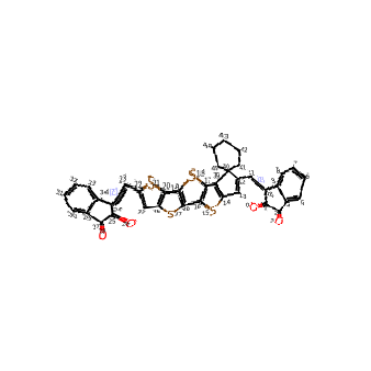 O=C1C(=O)c2ccccc2/C1=C/C1=Cc2sc3c(sc4c5sc(/C=C6\C(=O)C(=O)c7ccccc76)cc5sc34)c2C12CCCCC2